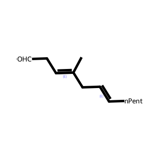 CCCCC/C=C/C/C(C)=C/C[C]=O